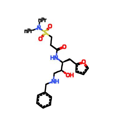 CCCN(CCC)S(=O)(=O)CCC(=O)N[C@@H](Cc1ccco1)[C@@H](O)CNCc1ccccc1